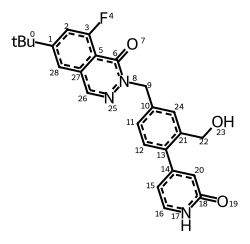 CC(C)(C)c1cc(F)c2c(=O)n(Cc3ccc(-c4cc[nH]c(=O)c4)c(CO)c3)ncc2c1